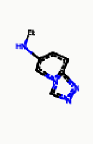 CCNc1ccc2nncn2c1